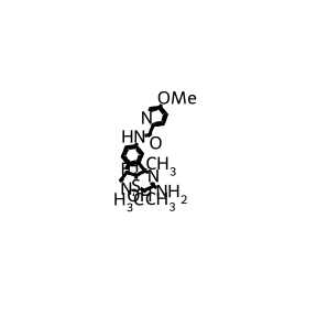 COc1ccc(C(=O)Nc2ccc(F)c([C@@]3(C)N=C(N)C(C)(C)[S@@]4(O)N=CC[C@@H]34)c2)nc1